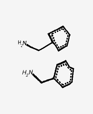 NCc1ccccc1.NCc1ccccc1